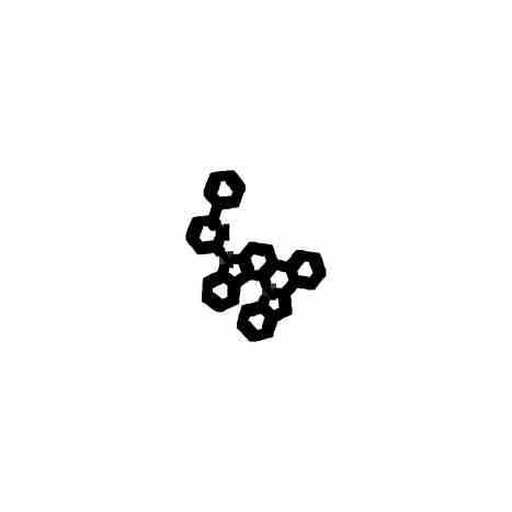 c1ccc(-c2cccc(-n3c4ccccc4c4c3ccc3c5ccccc5c5cc6ccccc6n5c34)n2)cc1